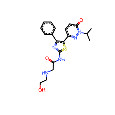 CC(C)n1nc(-c2sc(NC(=O)CNCCO)nc2-c2ccccc2)ccc1=O